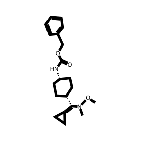 CON(C)C(=C1CC1)[C@H]1CC[C@@H](NC(=O)OCc2ccccc2)CC1